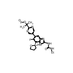 CCNC(=O)Nc1nc2cc(-c3cnc(C(C)(C)OP=O)nc3)c(F)c([C@H]3CCCO3)c2[nH]1